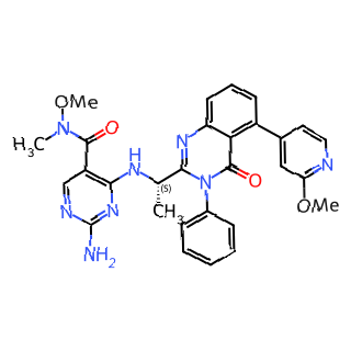 COc1cc(-c2cccc3nc([C@H](C)Nc4nc(N)ncc4C(=O)N(C)OC)n(-c4ccccc4)c(=O)c23)ccn1